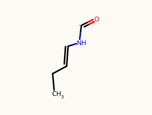 CCC=CN[C]=O